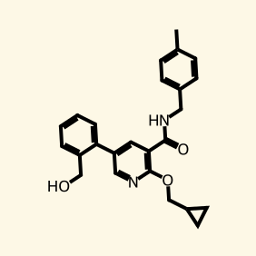 Cc1ccc(CNC(=O)c2cc(-c3ccccc3CO)cnc2OCC2CC2)cc1